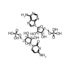 Nc1ccn([C@@H]2O[C@H](COP(=O)(O)O)[C@@H](O)[C@H]2O)c(=O)n1.Nc1ncnc2c1ncn2[C@@H]1O[C@H](COP(=O)(O)O)[C@@H](O)[C@H]1O